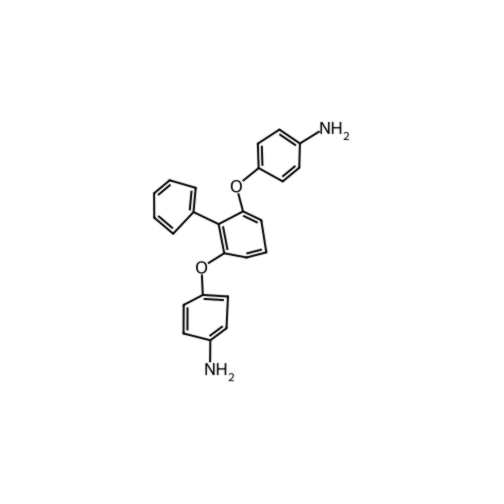 Nc1ccc(Oc2cccc(Oc3ccc(N)cc3)c2-c2ccccc2)cc1